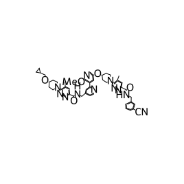 COc1ncc(OC2CCN(c3nnc(C(=O)NCc4cccc(C#N)c4)cc3C)CC2)cc1-c1cc(CNC(=O)c2cc(C)c(N3CCC(OCC4CC4)CC3)nn2)ccn1